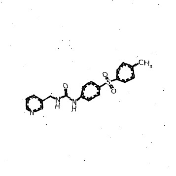 Cc1ccc(S(=O)(=O)c2ccc(NC(=O)NCc3cccnc3)cc2)cc1